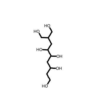 OCCC(O)CC(O)C(O)CC(CO)CO